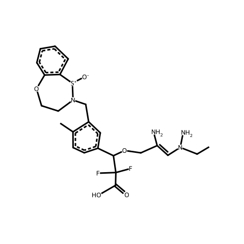 CCN(N)/C=C(\N)COC(c1ccc(C)c(CN2CCOc3ccccc3[S+]2[O-])c1)C(F)(F)C(=O)O